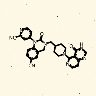 N#Cc1ccc2c(c1)CN(CC1CCN(c3nccc4nc[nH]c(=O)c34)CC1)C(=O)N2c1ccnc(C#N)c1